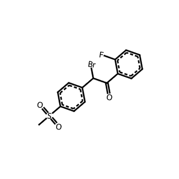 CS(=O)(=O)c1ccc(C(Br)C(=O)c2ccccc2F)cc1